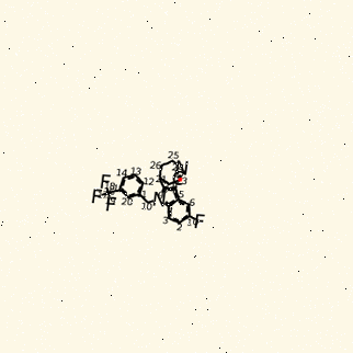 Fc1ccc2c(c1)c1c(n2Cc2cccc(C(F)(F)F)c2)C2CCN(CC2)C1